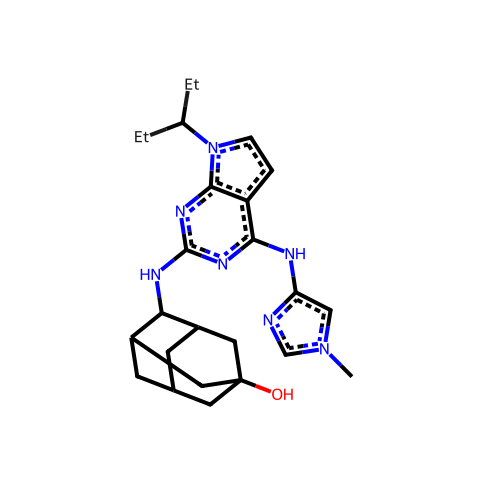 CCC(CC)n1ccc2c(Nc3cn(C)cn3)nc(NC3C4CC5CC3CC(O)(C5)C4)nc21